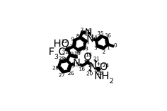 Cc1ccc(-n2ncc3cc(C(O)(c4cn(CC(=O)[N+](C)(C)C(N)=O)c5ccccc45)C(F)(F)F)ccc32)cc1